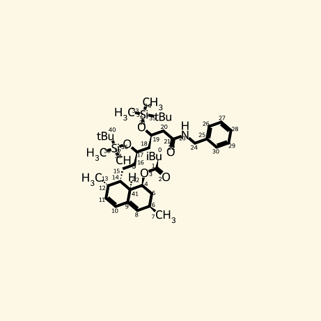 CC[C@H](C)C(=O)O[C@H]1C[C@@H](C)C=C2C=C[C@H](C)[C@H](CC[C@H](C[C@H](CC(=O)NCc3ccccc3)O[Si](C)(C)C(C)(C)C)O[Si](C)(C)C(C)(C)C)[C@H]21